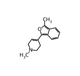 Cc1oc(C2=CCN(C)CC2)c2ccccc12